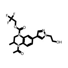 CC(=O)N1c2ccc(-c3cnn(CCO)c3)cc2N(C(=O)OCC(F)(F)F)CC1C